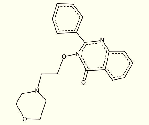 O=c1c2ccccc2nc(-c2ccccc2)n1OCCN1CCOCC1